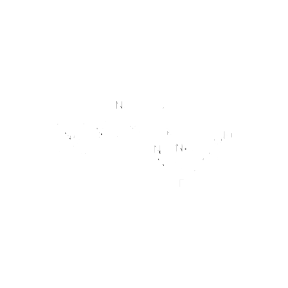 C=C(OCC)c1cc(F)c2nnc(Sc3ccc4ncc(N5CCC(N(C)C)C5)cc4c3)n2c1